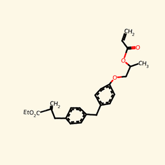 C=CC(=O)OC(C)COc1ccc(Cc2ccc(CC(=C)C(=O)OCC)cc2)cc1